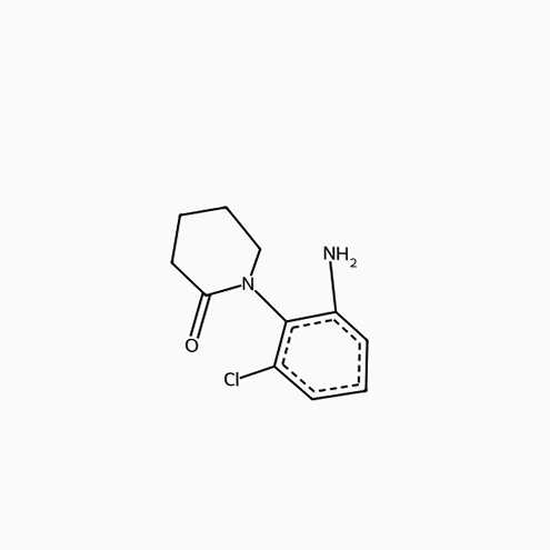 Nc1cccc(Cl)c1N1CCCCC1=O